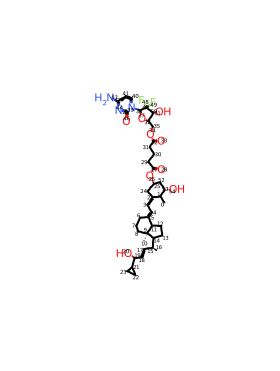 CC1/C(=C\C=C2/CCC[C@@]3(C)C2CCC3[C@@H](C)/C=C/C(O)C2CC2)C[C@@H](OC(=O)CCCC(=O)OCC2OC(n3ccc(N)nc3=O)C(F)(F)C2O)C[C@@H]1O